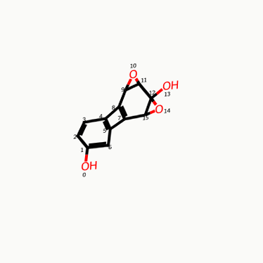 Oc1ccc2c(c1)C1=C2C2OC2C2(O)OC12